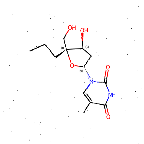 CCC[C@]1(CO)O[C@@H](n2cc(C)c(=O)[nH]c2=O)C[C@@H]1O